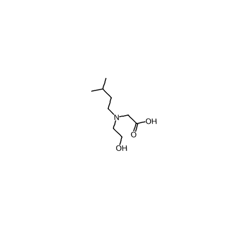 CC(C)CCN(CCO)CC(=O)O